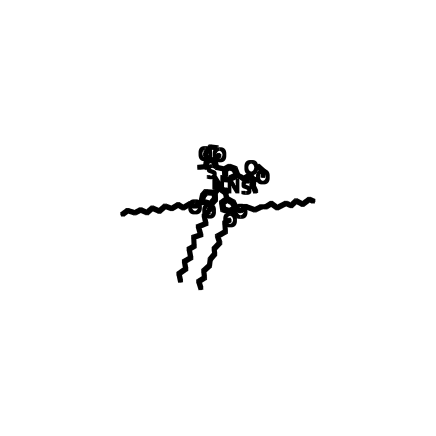 CCCCCCCCCCCCOc1ccc(-c2nc3c(-c4sc(C)c5c4OCCO5)ccc(-c4sc(C)c5c4OCCO5)c3nc2-c2ccc(OCCCCCCCCCCCC)c(OCCCCCCCCCCCC)c2)cc1OCCCCCCCCCCCC